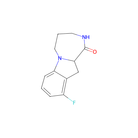 O=C1NCCCN2c3cccc(F)c3CC12